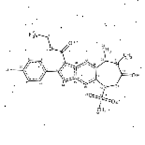 CCOC(=O)c1c(-c2ccc(F)cc2)oc2cc3c(cc12)C(C)N(C)C(=O)CN3S(C)(=O)=O